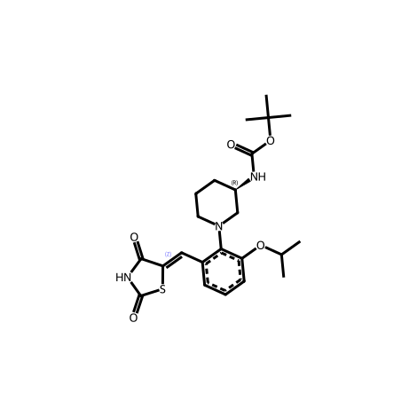 CC(C)Oc1cccc(/C=C2\SC(=O)NC2=O)c1N1CCC[C@@H](NC(=O)OC(C)(C)C)C1